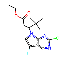 CCOC(=O)CC(n1cc(F)c2cnc(Cl)nc21)C(C)(C)C